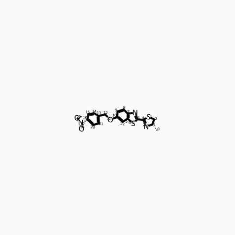 C[C@H]1CSC(c2nc3ccc(OCc4ccc([N+](=O)[O-])cc4)cc3s2)=N1